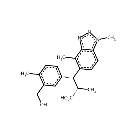 Cc1ccc([C@H](c2ccc3c(nnn3C)c2C)[C@H](C)C(=O)O)cc1CO